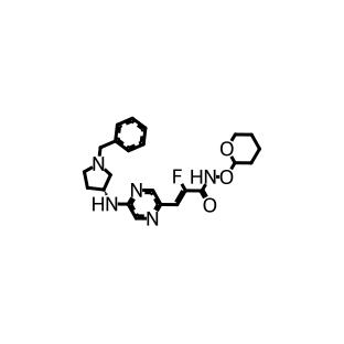 O=C(NOC1CCCCO1)/C(F)=C/c1cnc(N[C@@H]2CCN(Cc3ccccc3)C2)cn1